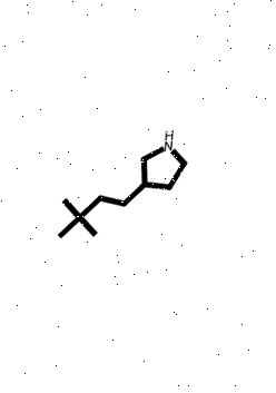 CC(C)(C)CC[C]1CCNC1